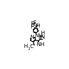 C=Cc1ccnc(Nc2ccc([SH](F)(F)(F)F)cc2)c1C(=N)C1CNC1